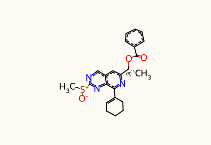 C[C@@H](OC(=O)c1ccccc1)c1cc2cnc([S+](C)[O-])nc2c(C2=CCCCC2)n1